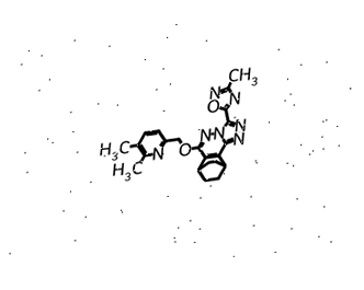 Cc1noc(-c2nnc3c4c(c(OCc5ccc(C)c(C)n5)nn23)C2CCC4CC2)n1